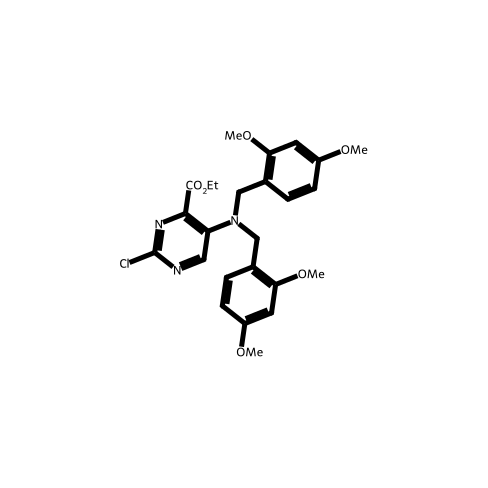 CCOC(=O)c1nc(Cl)ncc1N(Cc1ccc(OC)cc1OC)Cc1ccc(OC)cc1OC